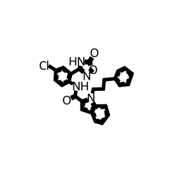 O=C(Nc1ccc(Cl)cc1-c1noc(=O)[nH]1)c1cc2ccccc2n1CCCc1ccccc1